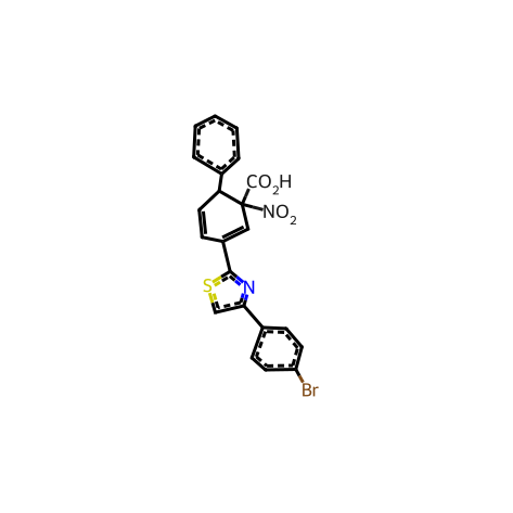 O=C(O)C1([N+](=O)[O-])C=C(c2nc(-c3ccc(Br)cc3)cs2)C=CC1c1ccccc1